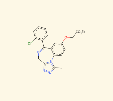 CCOC(=O)COc1ccc2c(c1)C(c1ccccc1Cl)=NCc1nnc(C)n1-2